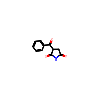 O=C1CC(C(=O)c2ccccc2)C(=O)N1